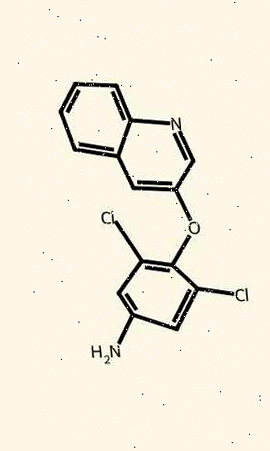 Nc1cc(Cl)c(Oc2cnc3ccccc3c2)c(Cl)c1